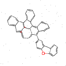 c1ccc(-c2c3ccccc3c(-c3ccc4oc5ccccc5c4c3)c3ccccc23)c(-c2cccc3ccccc23)c1